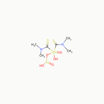 CN(C)C(=S)S(=O)(O)(OS(=O)O)C(=S)N(C)C